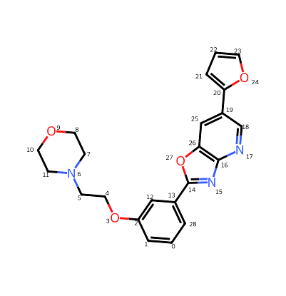 c1cc(OCCN2CCOCC2)cc(-c2nc3ncc(-c4ccco4)cc3o2)c1